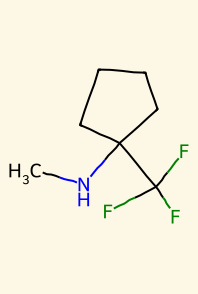 CNC1(C(F)(F)F)CCCC1